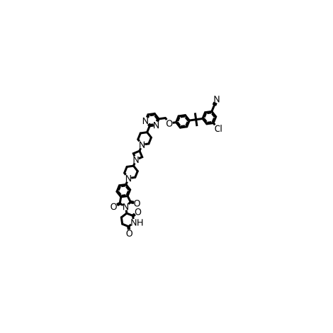 CC(C)(c1ccc(OCc2ccnc(C3CCN(C4CN(C5CCN(c6ccc7c(c6)C(=O)N(C6CCC(=O)NC6=O)C7=O)CC5)C4)CC3)n2)cc1)c1cc(Cl)cc(C#N)c1